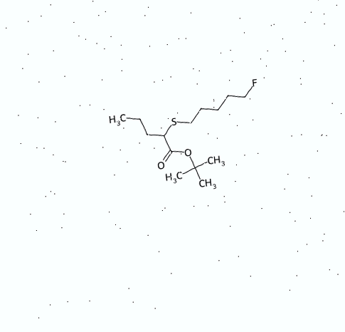 CCCC(SCCCCCF)C(=O)OC(C)(C)C